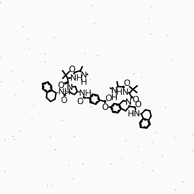 CNC(C)C(=O)NC(C(=O)N1Cc2cc(OC(=O)c3ccc(C(=O)N[C@H]4C[C@@H](C(=O)N[C@@H]5CCCc6ccccc65)N(C(=O)C(NC(=O)C(C)NC)C(C)(C)C)C4)cc3)ccc2CC1C(=O)N[C@@H]1CCCc2ccccc21)C(C)(C)C